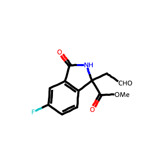 COC(=O)C1(CC=O)NC(=O)c2cc(F)ccc21